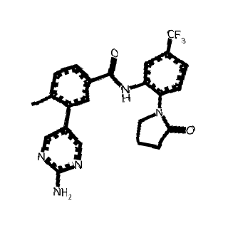 Cc1ccc(C(=O)Nc2cc(C(F)(F)F)ccc2N2CCCC2=O)cc1-c1cnc(N)nc1